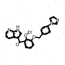 CCOc1c(OCc2ccc(-n3ccnc3)cc2)cccc1C(=O)c1c[nH]c2ncccc12